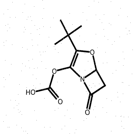 CC(C)(C)C1=C(OC(=O)O)N2C(=O)CC2O1